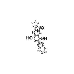 O=C1C2=C(CCCC2)C(=O)N1Cc1cc(O)cc(-n2nc3ccccc3n2)c1O